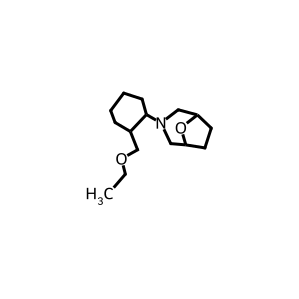 CCOCC1CCCCC1N1CC2CCC(C1)O2